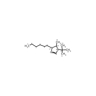 CCCCCCN1N=CN(C(C)(C)C)C1C